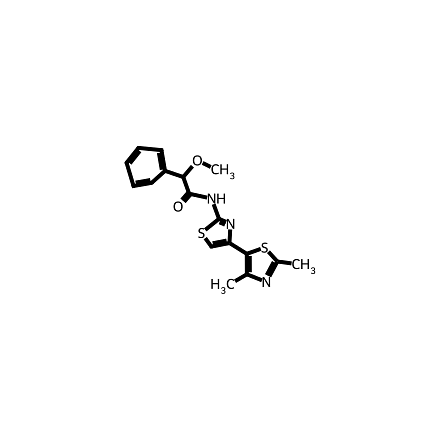 COC(C(=O)Nc1nc(-c2sc(C)nc2C)cs1)c1ccccc1